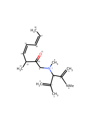 C=C(C)C(C(=C)NC)N(C)CC(=O)C(C)/C=C\C=C/C